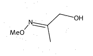 CO/N=C(\C)CO